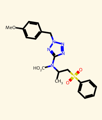 COc1ccc(Cn2nnc(N(C(=O)O)C(C)CS(=O)(=O)c3ccccc3)n2)cc1